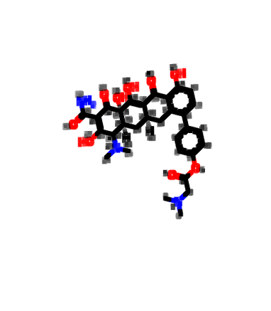 CN(C)CC(=O)Oc1ccc(-c2ccc(O)c3c2C[C@H]2C[C@H]4[C@@H](N(C)C)C(O)=C(C(N)=O)C(=O)[C@@]4(O)C(O)=C2C3=O)cc1